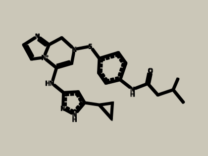 CC(C)CC(=O)Nc1ccc(SN2C=C(Nc3cc(C4CC4)[nH]n3)[N+]3C=CN=C3C2)cc1